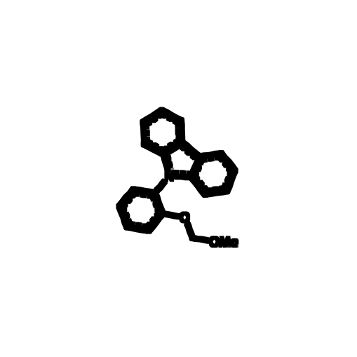 COCOc1ccccc1-n1c2ccccc2c2ccccc21